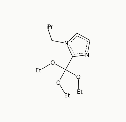 CCOC(OCC)(OCC)c1nccn1CC(C)C